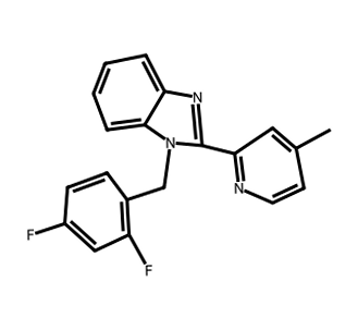 Cc1ccnc(-c2nc3ccccc3n2Cc2ccc(F)cc2F)c1